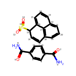 NC(=O)c1ccc(C(N)=O)cc1.O=[SH](=O)C1C=Cc2cccc3cccc1c23